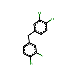 Clc1ccc([CH]c2ccc(Cl)c(Cl)c2)cc1Cl